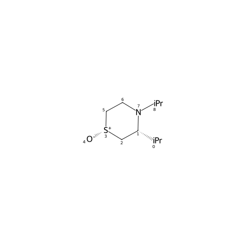 CC(C)[C@@H]1C[S@+]([O-])CCN1C(C)C